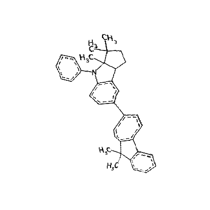 CC1(C)c2ccccc2-c2ccc(-c3ccc4c(c3)C3CCC(C)(C)C3(C)N4c3ccccc3)cc21